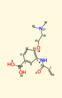 C=CC(=O)Nc1cc(B(O)O)ccc1OCCN(C)C